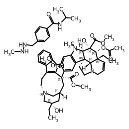 CC[C@]1(O)C[C@@H]2C[N@@](CCc3c([nH]c4ccccc34)[C@@](C(=O)OC)(c3cc4c(cc3OC)N(C)[C@H]3[C@@](O)(C(=O)OC)[C@H](OC(C)=O)[C@]5(CC)C=CCN6CC[C@]43[C@@H]65)C2)C1.CNNCc1ccc(C(=O)NC(C)C)cc1